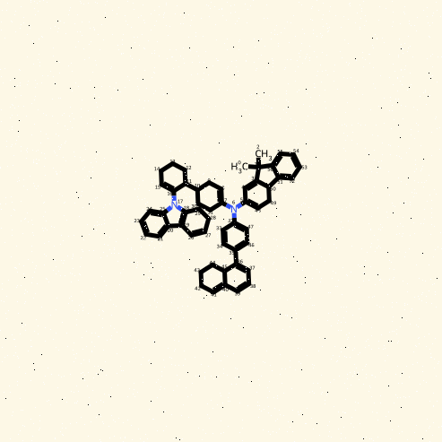 CC1(C)C2=CC(N(C3=CCC(C4CCCC=C4n4c5c(c6ccccc64)C=CCC5)CC3)c3ccc(C4=CC=CC5=CCCCC54)cc3)=CCC2c2ccccc21